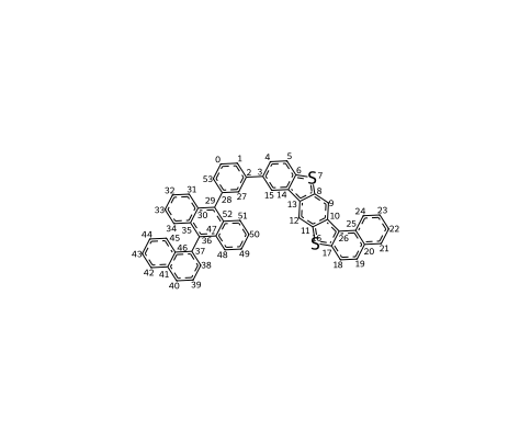 c1cc(-c2ccc3sc4cc5c(cc4c3c2)sc2ccc3ccccc3c25)cc(-c2c3ccccc3c(-c3cccc4ccccc34)c3ccccc23)c1